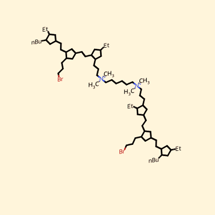 CCCCC1CC(CCC2CC(CCC3CC(CC)CC3CCC[N+](C)(C)CCCCCC[N+](C)(C)CCCC3CC(CCC4CC(CCC5CC(CC)CC5CCCC)CC4CCCBr)CC3CC)CC2CCCBr)CC1CC